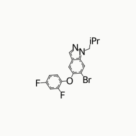 CC(C)Cn1ncc2cc(Oc3ccc(F)cc3F)c(Br)cc21